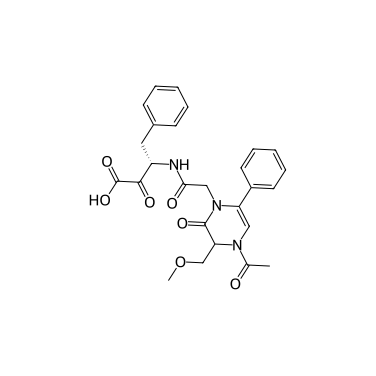 COCC1C(=O)N(CC(=O)N[C@@H](Cc2ccccc2)C(=O)C(=O)O)C(c2ccccc2)=CN1C(C)=O